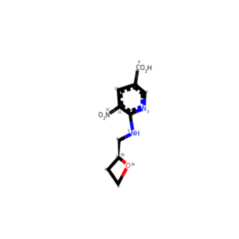 O=C(O)c1cnc(NC[C@@H]2CCO2)c([N+](=O)[O-])c1